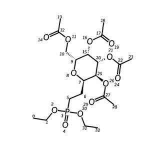 CCOP(=O)(CC[C@H]1O[C@H](COC(C)=O)[C@H](OC(C)=O)[C@H](OC(C)=O)[C@H]1OC(C)=O)OCC